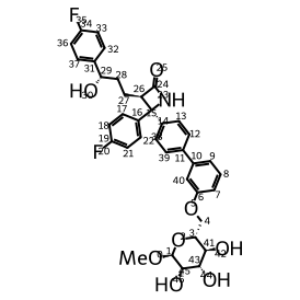 CO[C@H]1O[C@H](COc2cccc(-c3ccc([C@@]4(c5ccc(F)cc5)NC(=O)[C@@H]4CC[C@H](O)c4ccc(F)cc4)cc3)c2)[C@@H](O)[C@H](O)[C@H]1O